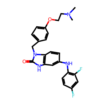 CN(C)CCOc1ccc(Cn2c(=O)[nH]c3cc(Nc4ccc(F)cc4F)ccc32)cc1